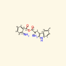 Cc1ccc2[nH]cc(C[C@H](N)C(=O)OC(=O)c3ccccc3N)c2c1